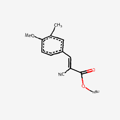 CCCCOC(=O)/C(C#N)=C/c1ccc(OC)c(C)c1